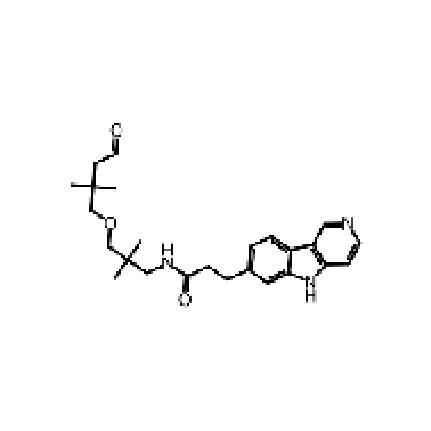 CC(C)(CC=O)COCC(C)(C)CNC(=O)CCc1ccc2c(c1)[nH]c1ccncc12